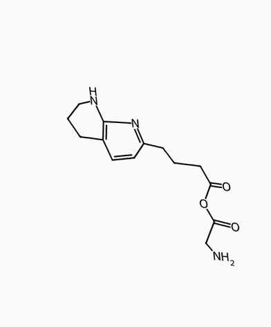 NCC(=O)OC(=O)CCCc1ccc2c(n1)NCCC2